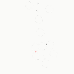 Cc1cc2c(cc1C)N(c1ccc(-c3ccc(-c4c5ccccc5c([Si](c5ccccc5)(c5ccccc5)c5ccccc5)c5ccccc45)cc3)cc1)C(c1ccccc1)N2